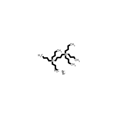 CCCC[N+](CCCC)(CCCC)CCCC[N+](CCCC)(CCCC)CCCC.[Br-].[Br-]